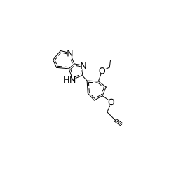 C#CCOc1ccc(-c2nc3ncccc3[nH]2)c(OCC)c1